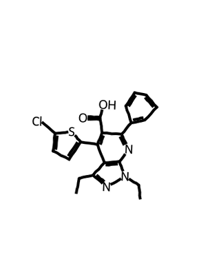 CCc1nn(CC)c2nc(-c3ccccc3)c(C(=O)O)c(-c3ccc(Cl)s3)c12